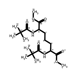 COC(=O)C(CCCC(NC(=O)C(C)(C)C)C(=O)OC)NC(=O)C(C)(C)C